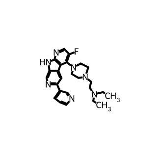 CCN(CC)CCN1CCN(c2c(F)cnc3[nH]c4cnc(-c5cccnc5)cc4c23)CC1